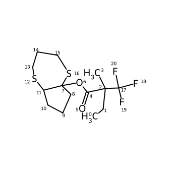 CCC(C)(C(=O)OC12CCCC1SCCCS2)C(F)(F)F